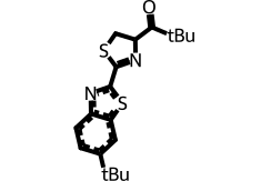 CC(C)(C)C(=O)C1CSC(c2nc3ccc(C(C)(C)C)cc3s2)=N1